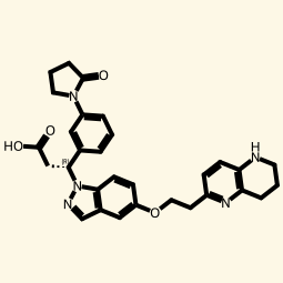 O=C(O)C[C@H](c1cccc(N2CCCC2=O)c1)n1ncc2cc(OCCc3ccc4c(n3)CCCN4)ccc21